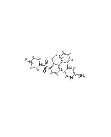 CCc1cc(C2C=NC(N)=CN2c2cccnc2)ccc1S(=O)(=O)N1CCN(C)CC1